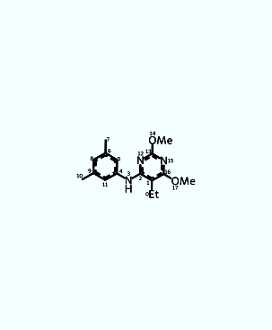 CCc1c(Nc2cc(C)cc(C)c2)nc(OC)nc1OC